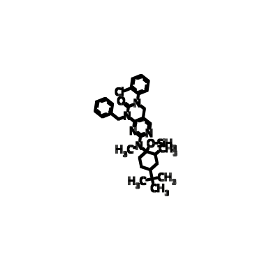 CC1CC(C(C)(C)C)CCC1(O[SiH3])N(C)c1ncc2c(n1)N(Cc1ccccc1)C(=O)N(c1ccccc1Cl)C2